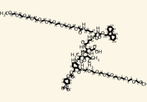 COCCOCCOCCOCCOCCOCCOCCOCCNC(=O)c1cc(NC(=O)[C@H](C)NC(=O)[C@@H](NC(=O)[C@H](CCC(=O)O)NC(=O)CCCNC(=O)[C@H](CCCCNC(=O)COCCOCCOCCOCCOCCOCCOCCOCCOCCOC)NC(=O)OCC2c3ccccc3-c3ccccc32)C(C)C)ccc1COC(=O)Oc1ccc([N+](=O)[O-])cc1